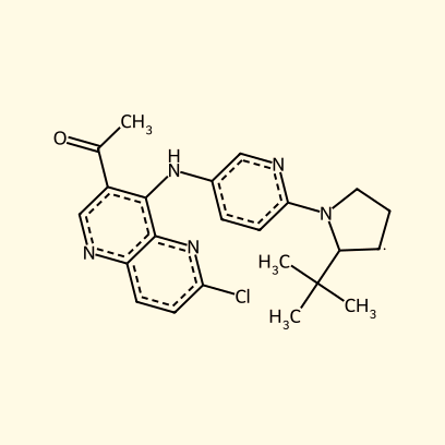 CC(=O)c1cnc2ccc(Cl)nc2c1Nc1ccc(N2CC[CH]C2C(C)(C)C)nc1